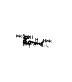 CNCCCN(C)CCCNC(=O)CCCc1ccc(Cc2cc(C3CC(O)CC(SC)O3)ccc2C)cc1